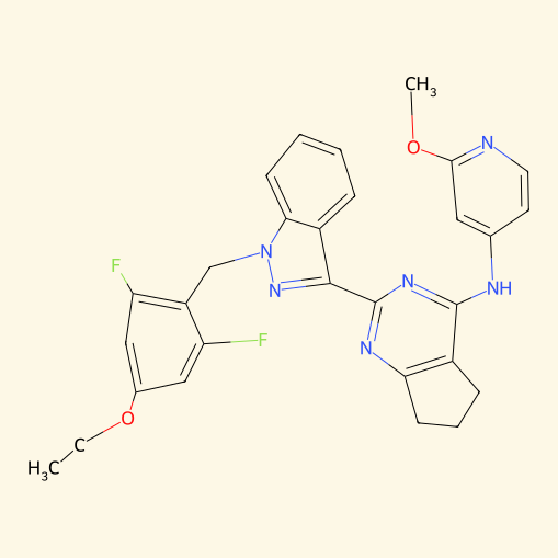 CCOc1cc(F)c(Cn2nc(-c3nc4c(c(Nc5ccnc(OC)c5)n3)CCC4)c3ccccc32)c(F)c1